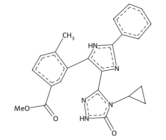 COC(=O)c1ccc(C)c(-c2[nH]c(-c3ccccc3)nc2-c2n[nH]c(=O)n2C2CC2)c1